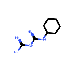 N=C(N)NC(=N)NC1CCCCC1